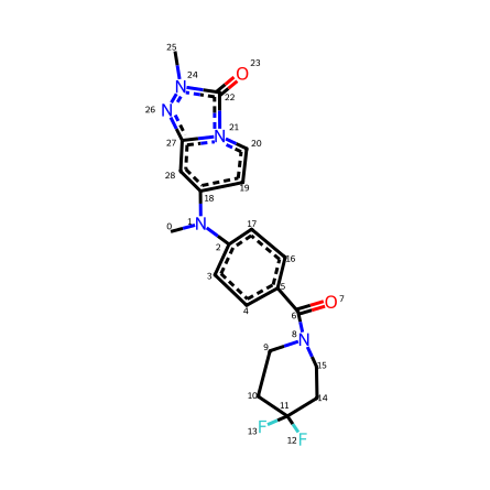 CN(c1ccc(C(=O)N2CCC(F)(F)CC2)cc1)c1ccn2c(=O)n(C)nc2c1